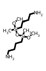 CO[Si](C)(CCCCN)O[Si](C)(CCCCN)OC